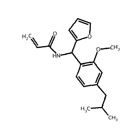 C=CC(=O)NC(c1ccco1)c1ccc(CC(C)C)cc1OC